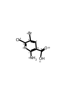 Nc1nc(Cl)c(Br)cc1C(=O)O